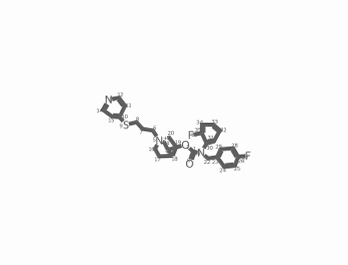 O=C(OC1C[N+]2(CCCSc3ccncc3)CCC1CC2)N(Cc1ccc(F)cc1)c1ccccc1F